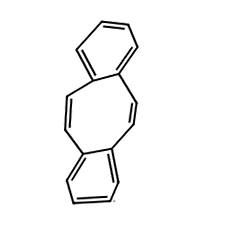 [c]1ccc2c(c1)/C=C\c1ccccc1/C=C\2